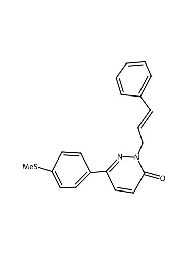 CSc1ccc(-c2ccc(=O)n(C/C=C/c3ccccc3)n2)cc1